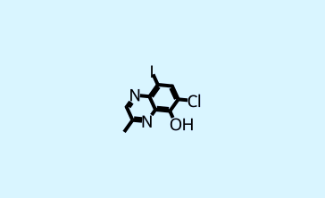 Cc1cnc2c(I)cc(Cl)c(O)c2n1